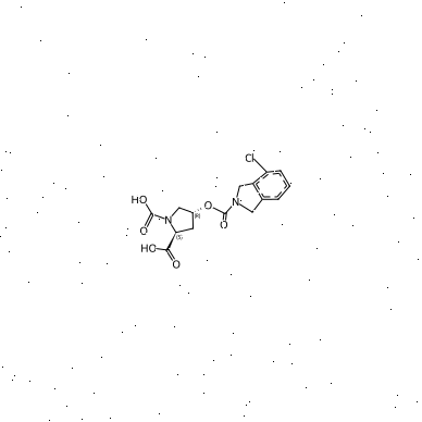 O=C(O)[C@@H]1C[C@@H](OC(=O)N2Cc3cccc(Cl)c3C2)CN1C(=O)O